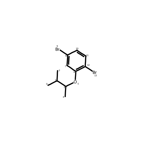 C[C](C)C(C)Oc1cc(Br)ccc1Br